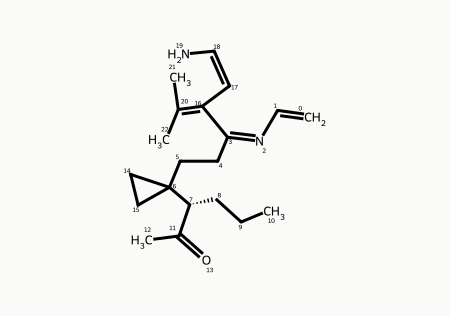 C=C/N=C(/CCC1([C@H](CCC)C(C)=O)CC1)C(/C=C\N)=C(C)C